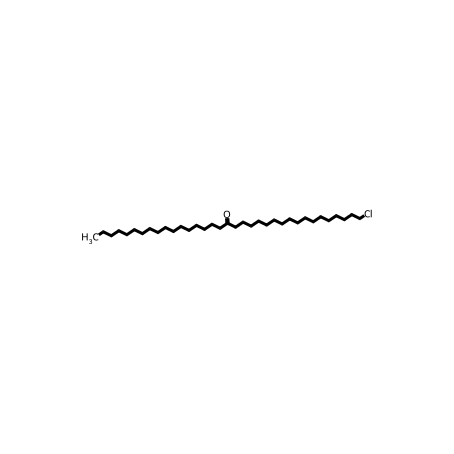 CCCCCCCCCCCCCCCCCC(=O)CCCCCCCCCCCCCCCCCCl